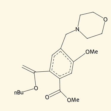 C=C(OCCCC)c1cc(CN2CCOCC2)c(OC)cc1C(=O)OC